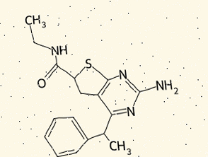 CCNC(=O)C1Cc2c(nc(N)nc2C(C)c2ccccc2)S1